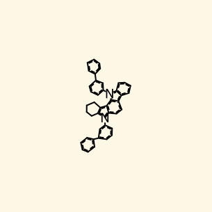 c1ccc(-c2cccc(-n3c4c(c5c3ccc3c6ccccc6n(-c6cccc(-c7ccccc7)c6)c35)CCCC4)c2)cc1